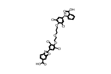 O=C(O)c1ccc2nc(-c3cc(Cl)c(OCCOCCCOc4c(Cl)cc(Nc5ccccc5C(=O)O)cc4Cl)c(Cl)c3)oc2c1